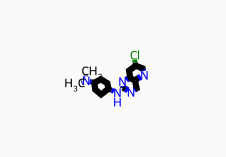 CN(C)c1ccc(Nc2ncc3ncc(Cl)cc3n2)cc1